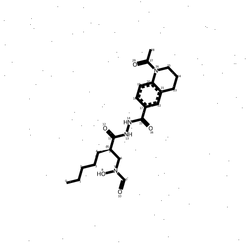 CCCCC[C@H](CN(O)C=O)C(=O)NNC(=O)c1ccc2c(c1)CCCN2C(C)=O